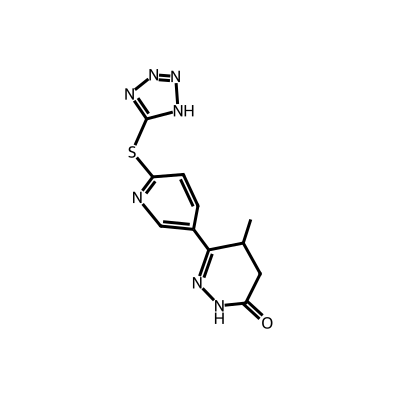 CC1CC(=O)NN=C1c1ccc(Sc2nnn[nH]2)nc1